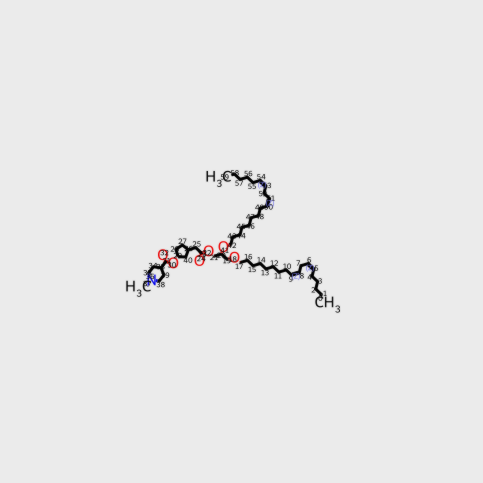 CCCCC/C=C\C/C=C\CCCCCCCCOCC(COC(=O)CC1CCC(OC(=O)C2CCN(C)CC2)C1)OCCCCCCCC/C=C\C/C=C\CCCCC